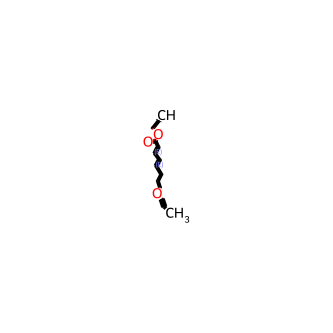 C#CCOC(=O)/C=C/C=C/CCCOC#CC